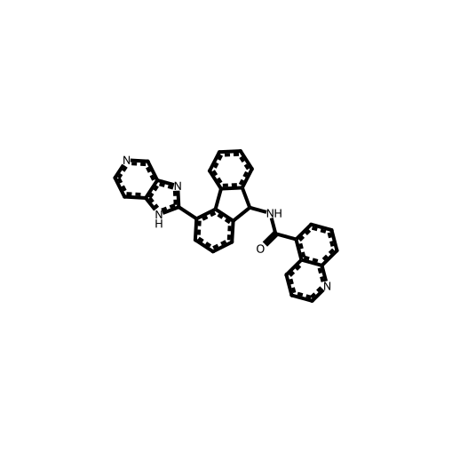 O=C(NC1c2ccccc2-c2c(-c3nc4cnccc4[nH]3)cccc21)c1cccc2ncccc12